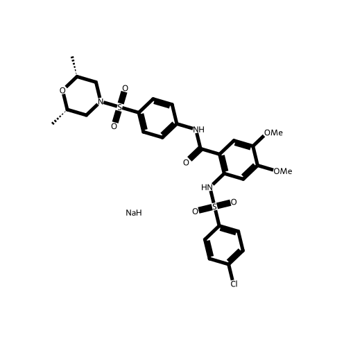 COc1cc(NS(=O)(=O)c2ccc(Cl)cc2)c(C(=O)Nc2ccc(S(=O)(=O)N3C[C@@H](C)O[C@@H](C)C3)cc2)cc1OC.[NaH]